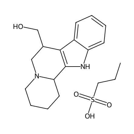 CCCS(=O)(=O)O.OCC1CN2CCCCC2c2[nH]c3ccccc3c21